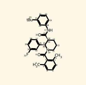 Cc1cccc(C)c1C(=O)N1CCC[C@H](C(=O)Nc2cccc(C(C)(C)C)c2)[C@@H]1c1cccc(F)c1